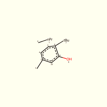 CCCC.Cc1ccc(C(C)(C)C)c(O)c1